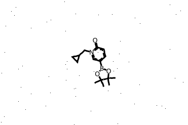 CC1(C)OB(c2ccc(=O)n(CC3CC3)c2)OC1(C)C